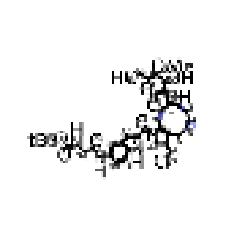 C=C1/C=C\C=C/CC2=C(/C=C\1O[C@@H]1OC(CO)[C@H](OC)C(O)[C@@H]1O)N(C(=O)c1cc3cc(NC(=O)CNC(=O)OC(C)(C)C)ccc3[nH]1)CC2CCl